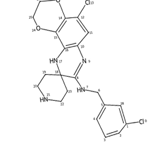 Clc1cccc(CNC2=Nc3cc(Cl)c4c(c3NC23CCNCC3)OCCO4)c1